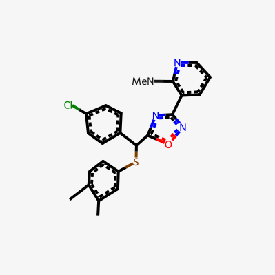 CNc1ncccc1-c1noc(C(Sc2ccc(C)c(C)c2)c2ccc(Cl)cc2)n1